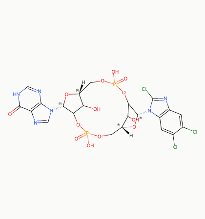 O=c1[nH]cnc2c1ncn2[C@@H]1O[C@@H]2COP(=O)(O)OC3C(O)[C@@H](COP(=O)(O)OC1C2O)O[C@H]3n1c(Cl)nc2cc(Cl)c(Cl)cc21